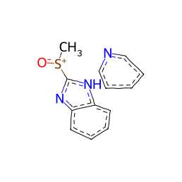 C[S+]([O-])c1nc2ccccc2[nH]1.c1ccncc1